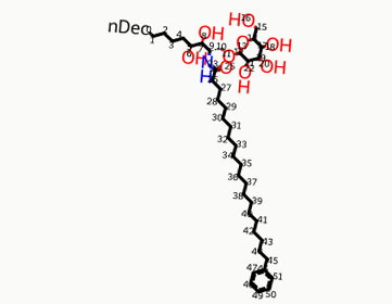 CCCCCCCCCCCCCC[C@@H](O)[C@@H](O)[C@H](COC1OC(CO)C(O)C(O)C1O)NC(=O)CCCCCCCCCCCCCCCCCCCCc1ccccc1